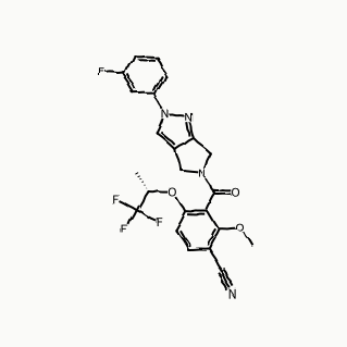 COc1c(C#N)ccc(O[C@@H](C)C(F)(F)F)c1C(=O)N1Cc2cn(-c3cccc(F)c3)nc2C1